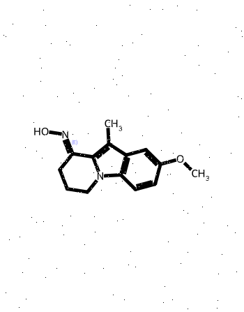 COc1ccc2c(c1)c(C)c1n2CCC/C1=N\O